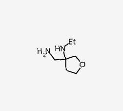 CCNC1(CN)CCOC1